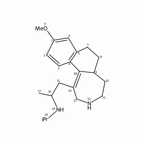 COc1ccc2c(c1)CCC1CCNCC(CC(C)NC(C)C)=C21